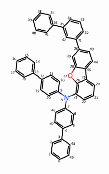 c1ccc(-c2ccc(N(c3ccc(-c4ccccc4)cc3)c3cccc4c3oc3cc(-c5cccc(-c6ccccc6)c5)ccc34)cc2)cc1